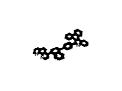 c1cnc2c(c1)ccc1c(-c3ccc(-c4ccc(-c5nc6ccccc6c6c7ccccc7c7ccccc7c56)cc4)c4ccccc34)ccnc12